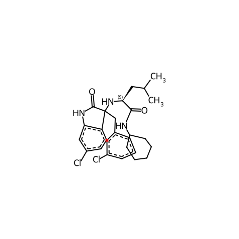 CC(C)C[C@H](NC1(Cc2cccc(Cl)c2)C(=O)Nc2cc(Cl)ccc21)C(=O)NC1CCCCC1